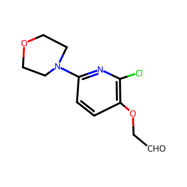 O=CCOc1ccc(N2CCOCC2)nc1Cl